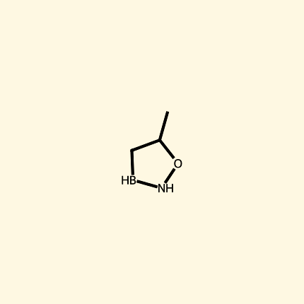 CC1CBNO1